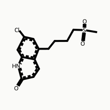 CS(=O)(=O)CCCCc1cc(Cl)cc2[nH]c(=O)ccc12